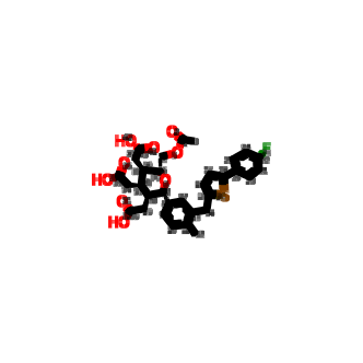 CC(=O)OC[C@@H]1O[C@H](c2ccc(C)c(Cc3ccc(-c4ccc(F)cc4)s3)c2)[C@@H](CC(=O)O)[C@@H](CC(=O)O)[C@H]1CC(=O)O